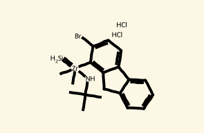 CC(C)(C)[NH][Zr]([CH3])([CH3])(=[SiH2])[c]1c(Br)ccc2c1Cc1ccccc1-2.Cl.Cl